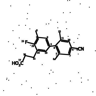 Cc1cc(-c2c(C)cc(C#N)cc2C)cc(CCC(=O)O)c1F